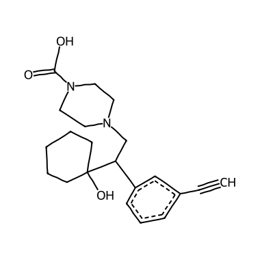 C#Cc1cccc(C(CN2CCN(C(=O)O)CC2)C2(O)CCCCC2)c1